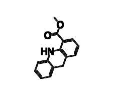 COC(=O)c1cccc2c1Nc1ccccc1C2